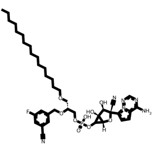 CCCCCCCCCCCCCCCCOC[C@H](COP(=O)(O)OC1[C@H]2O[C@@](C#N)(c3ccc4c(N)ncnn34)[C@H](O)[C@@]12O)OCc1cc(F)cc(C#N)c1